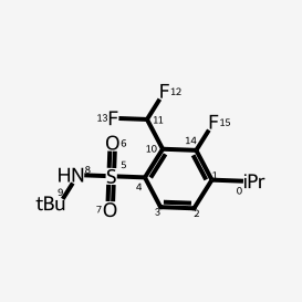 CC(C)c1ccc(S(=O)(=O)NC(C)(C)C)c(C(F)F)c1F